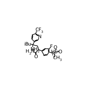 CCC(C)C(N)(CC(C(N)=O)c1ccc(N(C)[SH](=O)=O)c(F)c1)c1ccc(C(F)(F)F)nc1